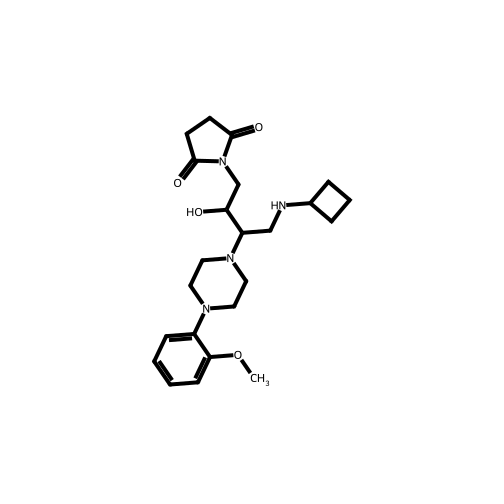 COc1ccccc1N1CCN(C(CNC2CCC2)C(O)CN2C(=O)CCC2=O)CC1